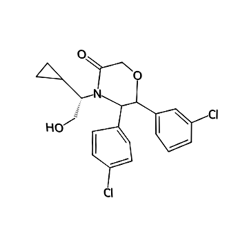 O=C1COC(c2cccc(Cl)c2)C(c2ccc(Cl)cc2)N1[C@H](CO)C1CC1